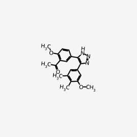 COc1ccc(-c2[nH]nnc2-c2cc(C)c(C)c(OC)c2)cc1C(C)=O